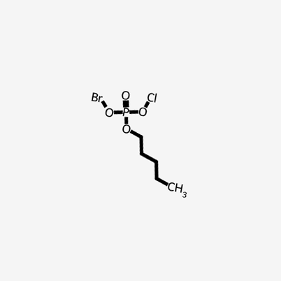 CCCCCOP(=O)(OCl)OBr